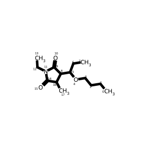 CCCCOC(CC)C1C(=O)N(CC)C(=O)C1C